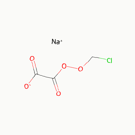 O=C([O-])C(=O)OOCCl.[Na+]